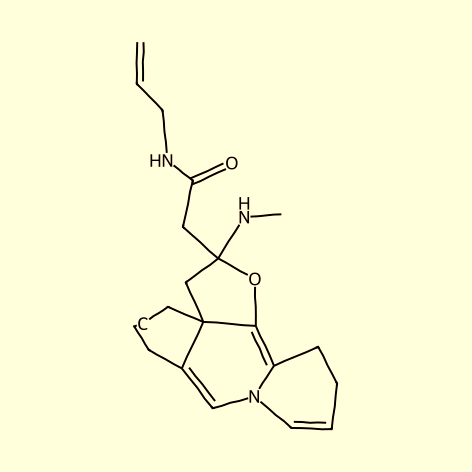 C=CCNC(=O)CC1(NC)CC23CCCCC2=CN2C=CCCC2=C3O1